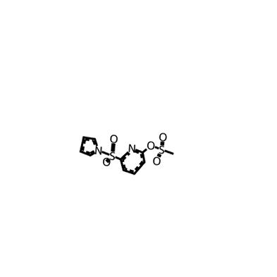 CS(=O)(=O)Oc1cccc(S(=O)(=O)n2cccc2)n1